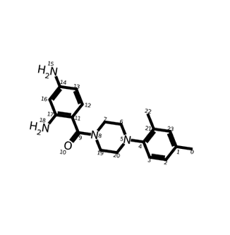 Cc1ccc(N2CCN(C(=O)c3ccc(N)cc3N)CC2)c(C)c1